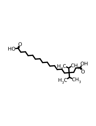 CC(C)C(CCCCCCCCCCCCCC(=O)O)(CCC(=O)O)C(C)C